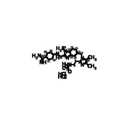 CC(=O)NCCc1nc(C)c(C)n1Cc1ccc2c(c1)nc(CNc1ccc(C(=N)N)cc1)n2C.Cl.Cl